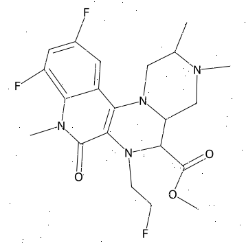 COC(=O)C1C2CN(C)C(C)CN2c2c(c(=O)n(C)c3c(F)cc(F)cc23)N1CCF